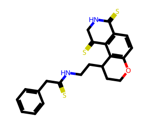 S=C(Cc1ccccc1)NCCC1CCOc2ccc3c(c21)C(=S)CNC3=S